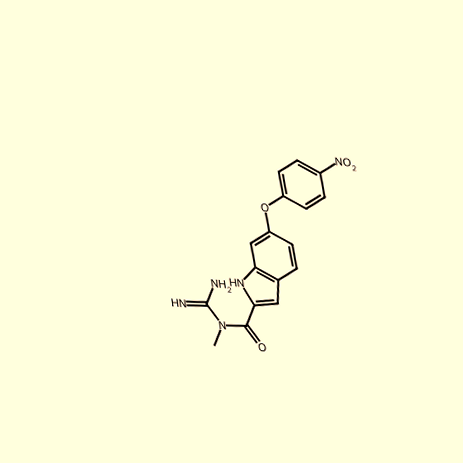 CN(C(=N)N)C(=O)c1cc2ccc(Oc3ccc([N+](=O)[O-])cc3)cc2[nH]1